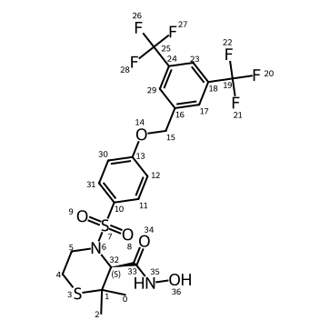 CC1(C)SCCN(S(=O)(=O)c2ccc(OCc3cc(C(F)(F)F)cc(C(F)(F)F)c3)cc2)[C@H]1C(=O)NO